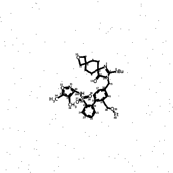 CCCCC1=NC2(CCC3(CC2)COC3)C(=O)N1Cc1ccc(-c2ccccc2S(=O)(=O)Nc2noc(C)c2C)c(COCC)c1